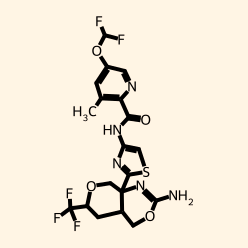 Cc1cc(OC(F)F)cnc1C(=O)Nc1csc(C23COC(C(F)(F)F)CC2COC(N)=N3)n1